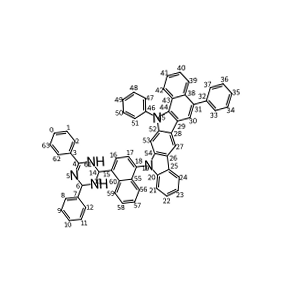 c1ccc(C2=NC(c3ccccc3)NC(c3ccc(-n4c5ccccc5c5cc6c7cc(-c8ccccc8)c8ccccc8c7n(-c7ccccc7)c6cc54)c4ccccc34)N2)cc1